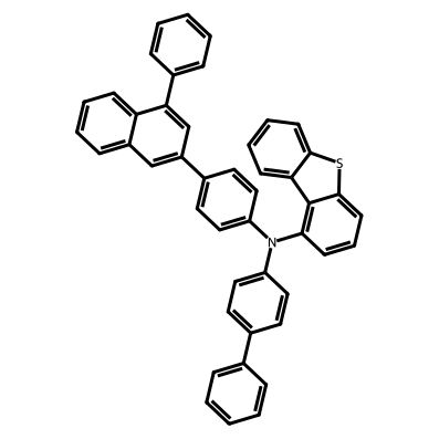 c1ccc(-c2ccc(N(c3ccc(-c4cc(-c5ccccc5)c5ccccc5c4)cc3)c3cccc4sc5ccccc5c34)cc2)cc1